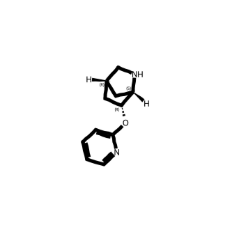 c1ccc(O[C@@H]2C[C@@H]3CN[C@H]2C3)nc1